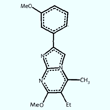 CCc1c(OC)nc2nc(-c3[c]ccc(OC)c3)cn2c1C